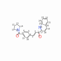 O=C(C=Cc1ccc(C(=O)N2CCCC2)cc1)c1ccc2ccccc2n1